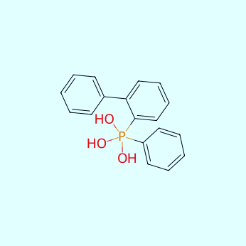 OP(O)(O)(c1ccccc1)c1ccccc1-c1ccccc1